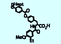 CCCCCCCOc1ccc(C(=O)Oc2ccc(C[C@H](NC(=O)c3ccc(OC)c(CC)c3)C(=O)O)cc2)cc1